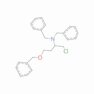 ClCC(CCOCc1ccccc1)N(Cc1ccccc1)Cc1ccccc1